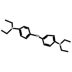 CCN(CC)c1cc[c]([Be][c]2ccc(N(CC)CC)cc2)cc1